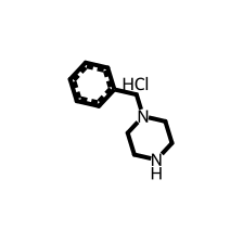 Cl.c1ccc(CN2CCNCC2)cc1